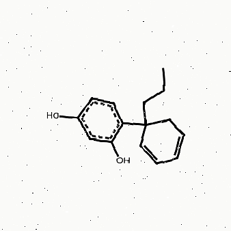 CCCC1(c2ccc(O)cc2O)C=CC=CC1